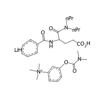 CCCN(CCC)C(=O)C(CCC(=O)O)NC(=O)c1ccccc1.CN(C)C(=O)Oc1cccc([N+](C)(C)C)c1.[LiH]